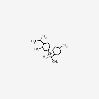 CC1CCC(C(C)C)C(C2(C)CCC(C(C)C)C(O)C2)C1